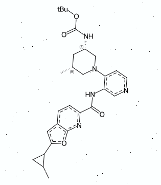 CC1CC1c1cc2ccc(C(=O)Nc3cnccc3N3C[C@H](C)C[C@H](NC(=O)OC(C)(C)C)C3)nc2o1